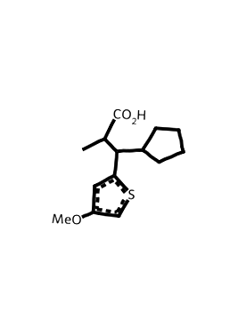 COc1csc(C(C2CCCC2)C(C)C(=O)O)c1